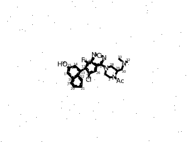 CC(=O)N1CCN(c2ncnc3c(F)c(-c4cc(O)cc5ccccc45)c(Cl)cc23)CC1CN(C)C